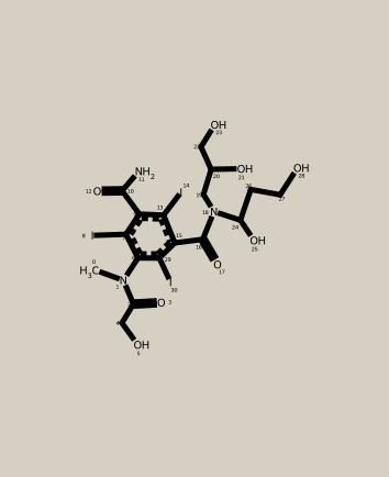 CN(C(=O)CO)c1c(I)c(C(N)=O)c(I)c(C(=O)N(CC(O)CO)C(O)CCO)c1I